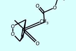 COC(=O)CN1C(=O)C2C=C(C)C1OO2